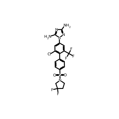 Nc1nc(N)n(-c2cc(Cl)c(-c3ccc(S(=O)(=O)N4CCC(F)(F)C4)cc3)c(C(F)(F)F)c2)n1